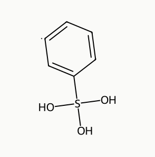 OS(O)(O)c1c[c]ccc1